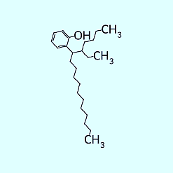 CCCCCCCCCCCC(c1ccccc1O)C(CC)CCCC